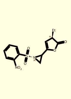 CC[C@@H]1C=C(C2C[N@]2S(=O)(=O)c2ccccc2[N+](=O)[O-])OC1=O